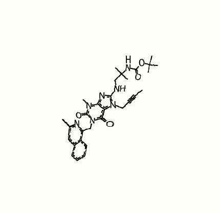 CC#CCn1c(NCC(C)(C)NC(=O)OC(C)(C)C)nc2c1c(=O)n(Cc1nc(C)cc3ccccc13)c(=O)n2C